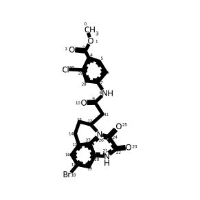 COC(=O)c1ccc(NC(=O)CC2CCc3cc(Br)cc4[nH]c(=O)c(=O)n2c34)cc1Cl